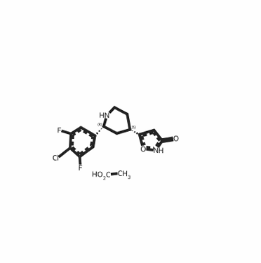 CC(=O)O.O=c1cc([C@H]2CCN[C@@H](c3cc(F)c(Cl)c(F)c3)C2)o[nH]1